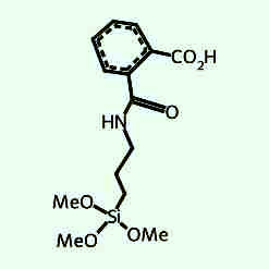 CO[Si](CCCNC(=O)c1ccccc1C(=O)O)(OC)OC